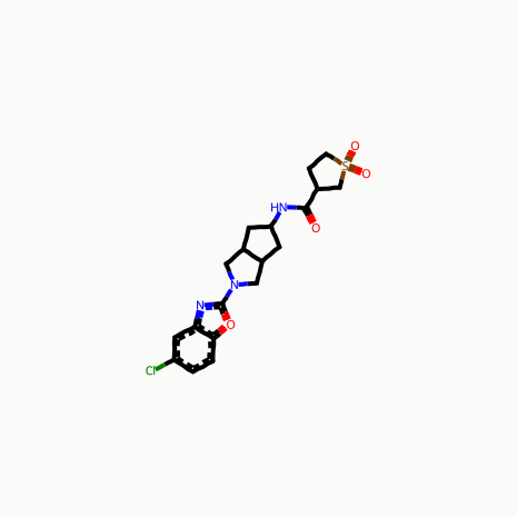 O=C(NC1CC2CN(c3nc4cc(Cl)ccc4o3)CC2C1)C1CCS(=O)(=O)C1